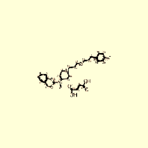 CN(C1=Nc2ccccc2CS1)C1CCN(CCCOCCCc2ccc(F)cc2)CC1.O=C(O)C=CC(=O)O